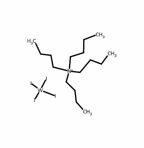 CCCC[N+](CCCC)(CCCC)CCCC.[I][W]([I])([I])[I]